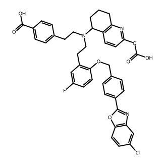 O=C(O)Oc1ccc2c(n1)CCCC2N(CCc1ccc(C(=O)O)cc1)CCc1cc(F)ccc1OCc1ccc(-c2nc3cc(Cl)ccc3o2)cc1